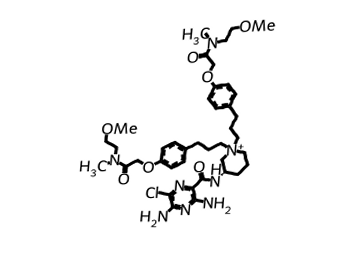 COCCN(C)C(=O)COc1ccc(CCC[N+]2(CCCc3ccc(OCC(=O)N(C)CCOC)cc3)CCC[C@H](NC(=O)c3nc(Cl)c(N)nc3N)C2)cc1